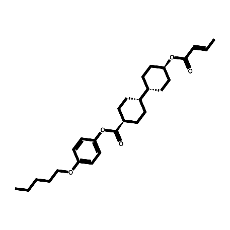 CC=CC(=O)O[C@H]1CC[C@H]([C@H]2CC[C@H](C(=O)Oc3ccc(OCCCCC)cc3)CC2)CC1